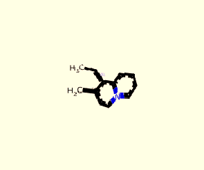 C=c1cc[n+]2ccccc2/c1=C/C